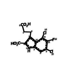 O=C(O)CCc1c(C(=O)O)[nH]c2cc(Cl)c(F)c(Cl)c12